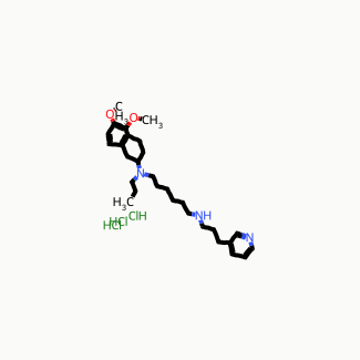 CCCN(CCCCCCNCCCc1cccnc1)C1CCc2c(ccc(OC)c2OC)C1.Cl.Cl.Cl